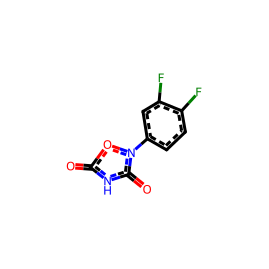 O=c1[nH]c(=O)n(-c2ccc(F)c(F)c2)o1